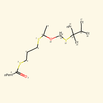 CCCCCC(=O)SCCCSC(C)O[SiH2]SC(CC)(CCC)C(CC)CC